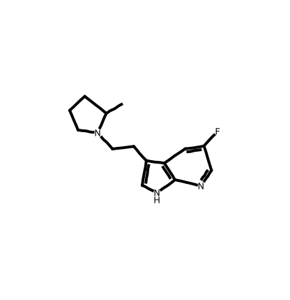 CC1CCCN1CCc1c[nH]c2ncc(F)cc12